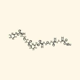 CC(C)(C)OC(=O)NCCCNC(=O)CCOCCNC(=O)OCc1cccc(OC(=O)CCOCCNC(=O)OCc2ccccc2)c1